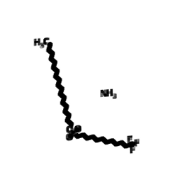 CCCCCCCCCCCCCCCCCCCCOS(=O)(=O)CCCCCCCCCCCC(F)(F)F.N